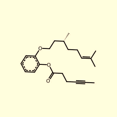 CC#CCCC(=O)Oc1ccccc1OCC[C@H](C)CCC=C(C)C